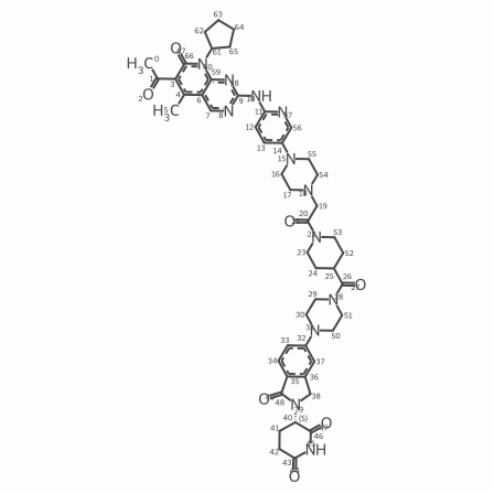 CC(=O)c1c(C)c2cnc(Nc3ccc(N4CCN(CC(=O)N5CCC(C(=O)N6CCN(c7ccc8c(c7)CN([C@H]7CCC(=O)NC7=O)C8=O)CC6)CC5)CC4)cn3)nc2n(C2CCCC2)c1=O